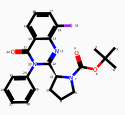 CC(C)(C)OC(=O)N1CCC[C@H]1c1nc2c(I)cccc2c(=O)n1-c1ccccc1